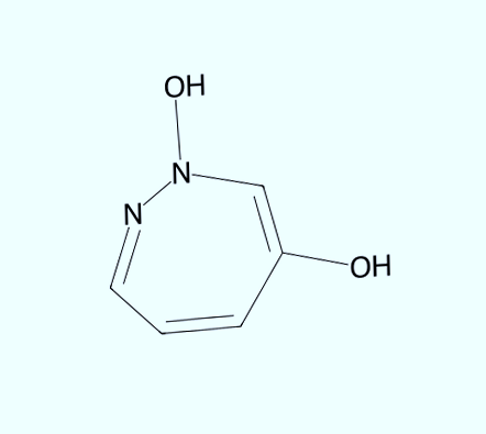 OC1=CN(O)N=CC=C1